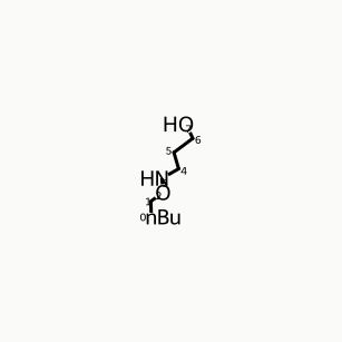 CCCCCONCCCO